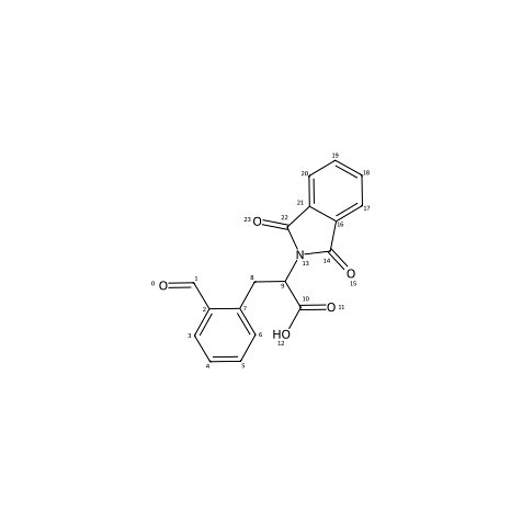 O=Cc1ccccc1CC(C(=O)O)N1C(=O)c2ccccc2C1=O